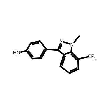 Cn1nc(-c2ccc(O)cc2)c2cccc(C(F)(F)F)c21